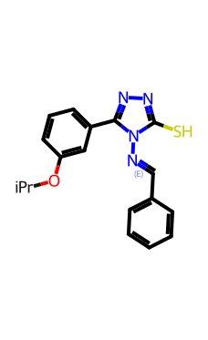 CC(C)Oc1cccc(-c2nnc(S)n2/N=C/c2ccccc2)c1